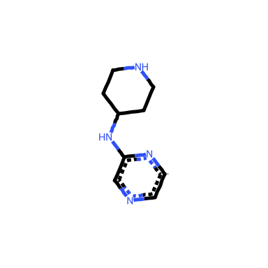 [c]1cncc(NC2CCNCC2)n1